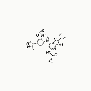 Cc1c(-c2ccc(Nc3cc(NC(=O)C4CC4)nc4[nH]c(C(F)F)nc34)c(N(C)S(C)(=O)=O)c2)cnn1C